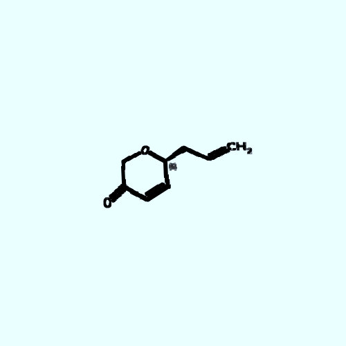 C=CC[C@H]1C=CC(=O)CO1